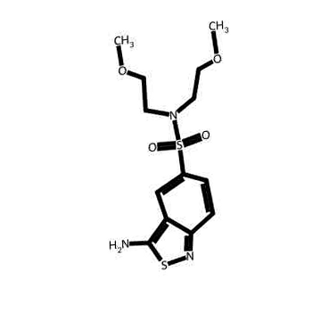 COCCN(CCOC)S(=O)(=O)c1ccc2nsc(N)c2c1